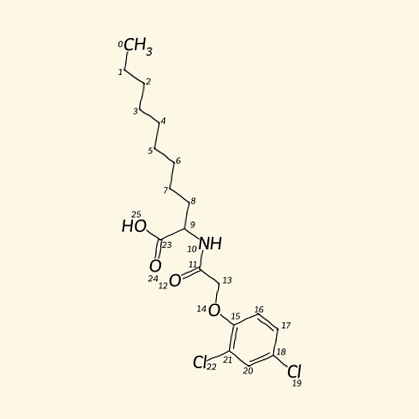 CCCCCCCCCC(NC(=O)COc1ccc(Cl)cc1Cl)C(=O)O